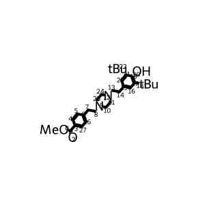 COC(=O)c1ccc(CCN2CCN(CCc3cc(C(C)(C)C)c(O)c(C(C)(C)C)c3)CC2)cc1